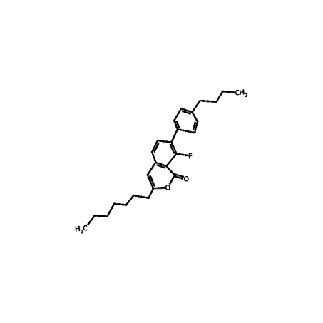 CCCCCCCc1cc2ccc(-c3ccc(CCCC)cc3)c(F)c2c(=O)o1